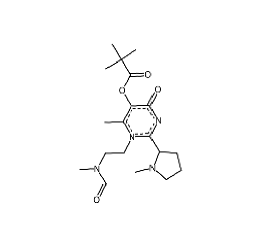 Cc1c(OC(=O)C(C)(C)C)c(=O)nc(C2CCCN2C)n1CCN(C)C=O